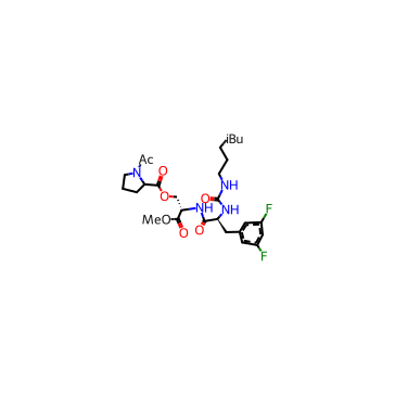 CCC(C)CCCNC(=O)N[C@@H](Cc1cc(F)cc(F)c1)C(=O)N[C@@H](COC(=O)C1CCCN1C(C)=O)C(=O)OC